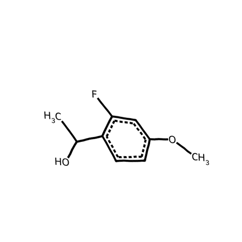 COc1ccc(C(C)O)c(F)c1